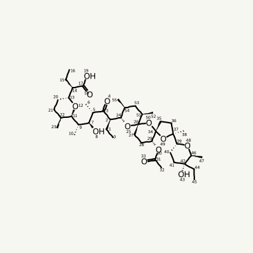 CC[C@@H](C(=O)[C@@H](C)[C@@H](O)[C@H](C)[C@@H]1O[C@@H]([C@@H](CC)C(=O)O)CC[C@@H]1C)[C@H]1O[C@]2(CC[C@@H](OC(C)=O)[C@]3(CC[C@@](C)([C@H]4CC[C@](O)(CC)[C@H](C)O4)O3)O2)[C@H](C)C[C@@H]1C